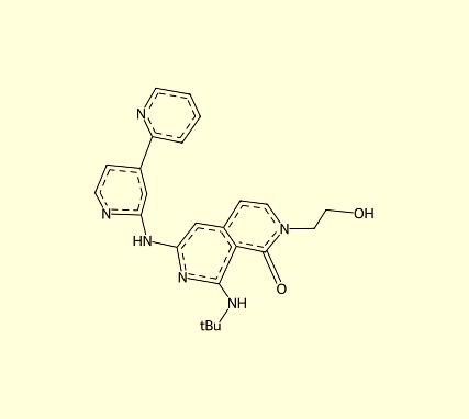 CC(C)(C)Nc1nc(Nc2cc(-c3ccccn3)ccn2)cc2ccn(CCO)c(=O)c12